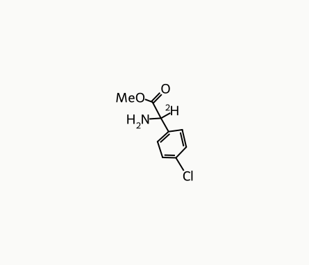 [2H]C(N)(C(=O)OC)c1ccc(Cl)cc1